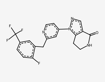 O=C1NCCc2c1cnn2-c1ccnc(Cc2cc(C(F)(F)F)ccc2F)c1